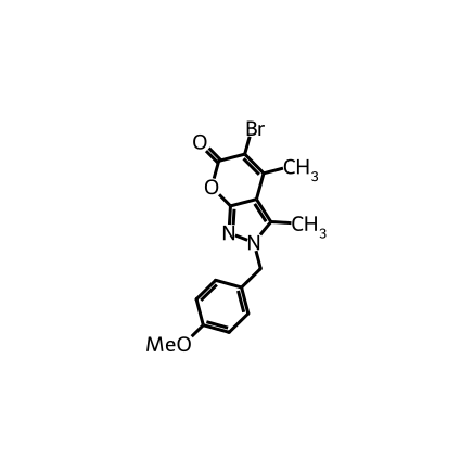 COc1ccc(Cn2nc3oc(=O)c(Br)c(C)c3c2C)cc1